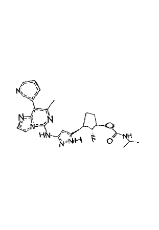 Cc1nc(Nc2cc([C@H]3CC[C@@H](OC(=O)NC(C)C)[C@@H]3F)[nH]n2)n2ccnc2c1-c1cccnc1